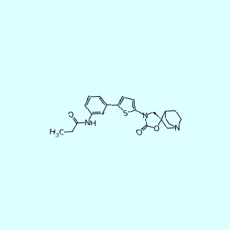 CCC(=O)Nc1cccc(-c2ccc(N3C[C@@]4(CN5CCC4CC5)OC3=O)s2)c1